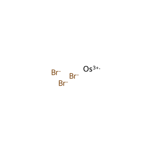 [Br-].[Br-].[Br-].[Os+3]